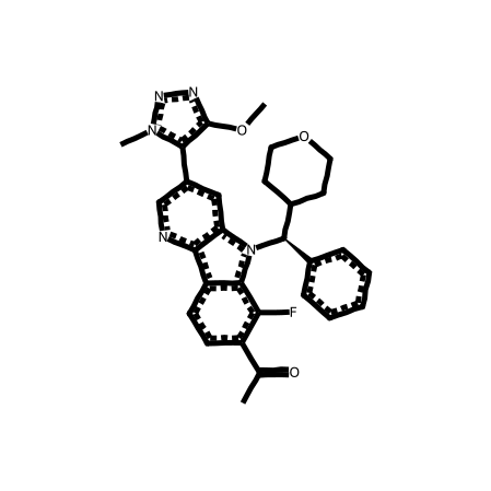 COc1nnn(C)c1-c1cnc2c3ccc(C(C)=O)c(F)c3n([C@H](c3ccccc3)C3CCOCC3)c2c1